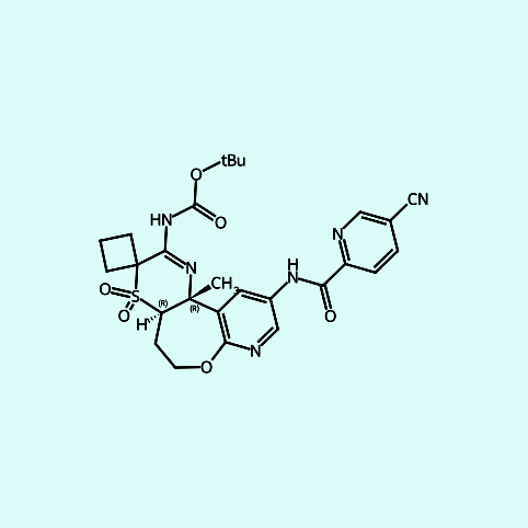 CC(C)(C)OC(=O)NC1=N[C@]2(C)c3cc(NC(=O)c4ccc(C#N)cn4)cnc3OCC[C@H]2S(=O)(=O)C12CCC2